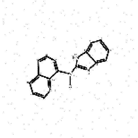 [O-][S+](c1nc2ccccc2[nH]1)c1cccc2cccnc12